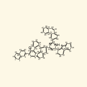 c1ccc2cc(-c3cccc4c3oc3cccc(-c5cc(C6=NC(c7cccc8c7sc7ccccc78)NC(c7ccc8ccc9ccccc9c8c7)=N6)cc6ccccc56)c34)ccc2c1